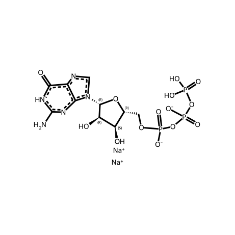 Nc1nc2c(ncn2[C@@H]2O[C@H](COP(=O)([O-])OP(=O)([O-])OP(=O)(O)O)[C@@H](O)[C@H]2O)c(=O)[nH]1.[Na+].[Na+]